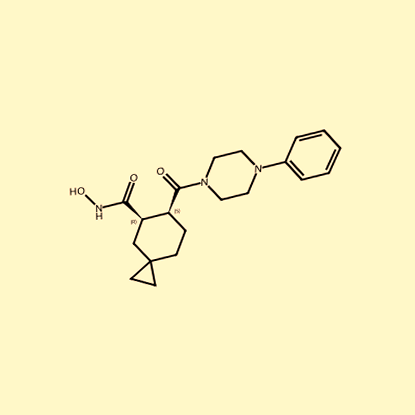 O=C(NO)[C@@H]1CC2(CC[C@@H]1C(=O)N1CCN(c3ccccc3)CC1)CC2